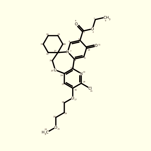 CCOC(=O)c1cn2c(cc1=O)-c1nc(Cl)c(OCCCOC)cc1OCC21CCCCC1